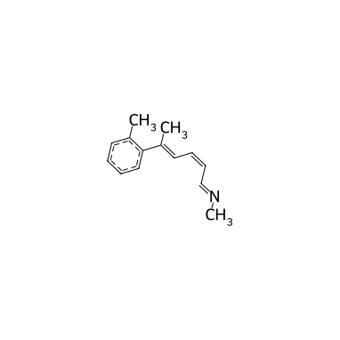 C/N=C/C=C\C=C(/C)c1ccccc1C